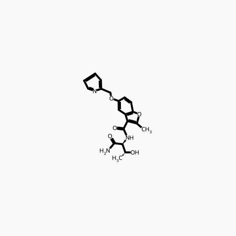 Cc1oc2ccc(OCc3ccccn3)cc2c1C(=O)N[C@H](C(N)=O)[C@@H](C)O